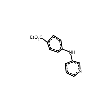 CCOC(=O)c1ccc(Nc2cccnc2)cc1